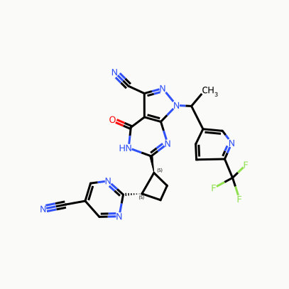 CC(c1ccc(C(F)(F)F)nc1)n1nc(C#N)c2c(=O)[nH]c([C@H]3CC[C@@H]3c3ncc(C#N)cn3)nc21